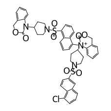 O=C1OCc2ccccc2N1C1CCN(S(=O)(=O)c2cccc3c([N+]4(C5CCN(S(=O)(=O)c6ccc7c(Cl)cccc7c6)CC5)C(=O)OCc5ccccc54)cccc23)CC1